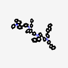 c1cc(N(c2cccc(-c3ccccc3)c2)c2cccc(-c3cccc4c3c3ccc5ccccc5c3n4-c3ccccc3)c2)c2ccc(C3=CC=C(n4c5cccc(-c6cccc(N(c7ccc(-c8ccc9ccccc9c8)cc7)c7ccc(-c8ccc9c(ccc%10ccccc%109)c8)cc7)c6)c5c5ccc6ccccc6c54)CC3)cc2c#1